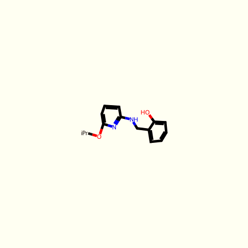 CC(C)Oc1cccc(NCc2ccccc2O)n1